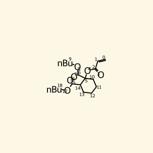 C=CC(=O)OC1(C(=O)OCCCC)CCCCC1C(=O)OCCCC